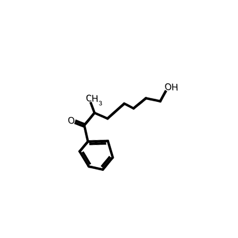 CC(CCCCCO)C(=O)c1ccccc1